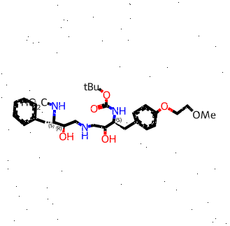 COCCOc1ccc(C[C@H](NC(=O)OC(C)(C)C)C(O)CNC[C@@H](O)[C@H](Cc2ccccc2)NC(=O)O)cc1